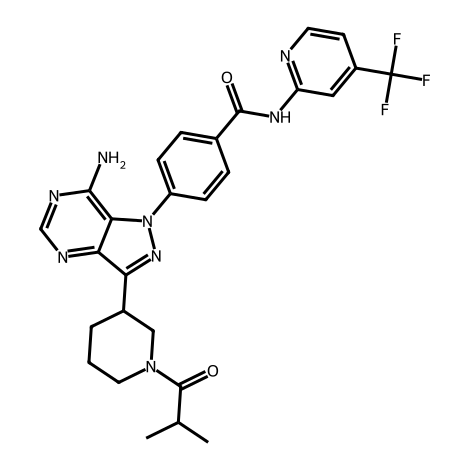 CC(C)C(=O)N1CCCC(c2nn(-c3ccc(C(=O)Nc4cc(C(F)(F)F)ccn4)cc3)c3c(N)ncnc23)C1